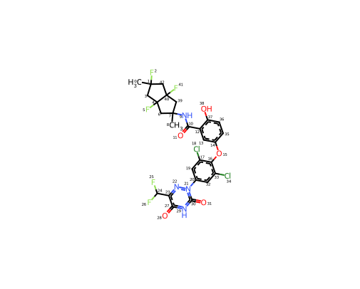 CC1(F)CC2(F)CC(C)(NC(=O)c3cc(Oc4c(Cl)cc(-n5nc(C(F)F)c(=O)[nH]c5=O)cc4Cl)ccc3O)CC2(F)C1